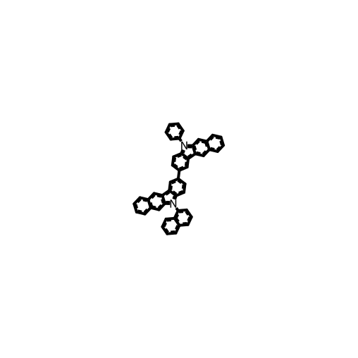 c1ccc(-n2c3ccc(-c4ccc5c(c4)c4cc6ccccc6cc4n5-c4cccc5ccccc45)cc3c3cc4ccccc4cc32)cc1